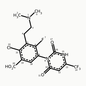 CN(C)CCc1c(F)c(-n2c(=O)cc(C(F)(F)F)[nH]c2=O)cc(C(=O)O)c1Cl